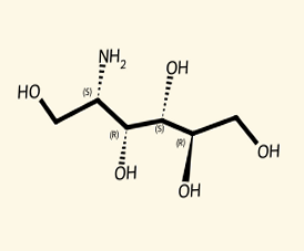 N[C@@H](CO)[C@@H](O)[C@H](O)[C@H](O)CO